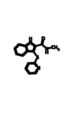 CNC(=O)c1[nH]c2ccccc2c1Sc1ccccn1